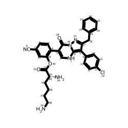 N#Cc1ccc(-c2c[nH]c3c(-c4ccc(Cl)cc4)c(Cc4ccccc4)nn3c2=O)c(OC(=O)[C@H](N)CCCCN)c1